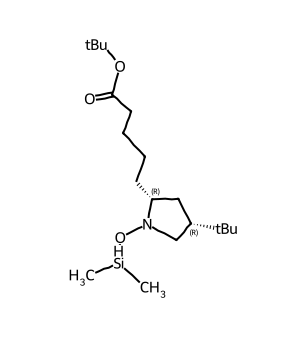 C[SiH](C)ON1C[C@@H](C(C)(C)C)C[C@H]1CCCCC(=O)OC(C)(C)C